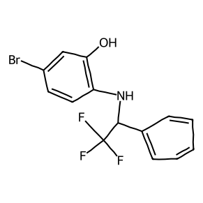 Oc1cc(Br)ccc1NC(c1ccccc1)C(F)(F)F